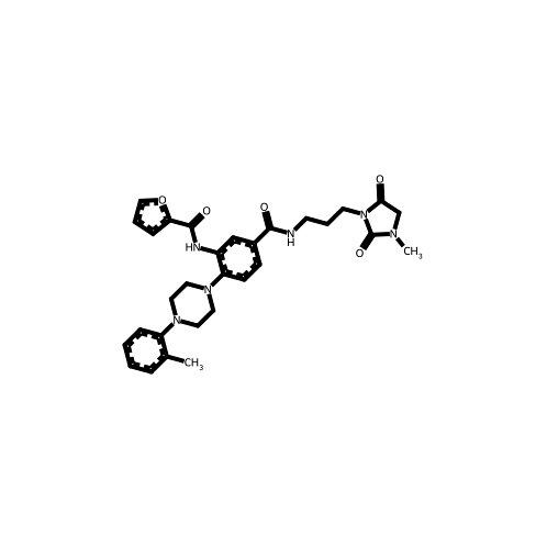 Cc1ccccc1N1CCN(c2ccc(C(=O)NCCCN3C(=O)CN(C)C3=O)cc2NC(=O)c2ccco2)CC1